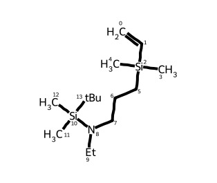 C=C[Si](C)(C)CCCN(CC)[Si](C)(C)C(C)(C)C